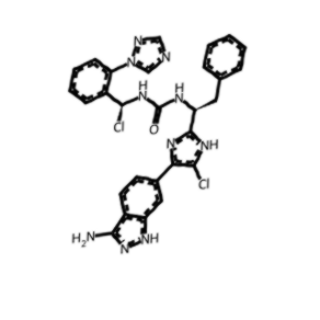 Nc1n[nH]c2cc(-c3nc([C@H](Cc4ccccc4)NC(=O)N[C@@H](Cl)c4ccccc4-n4cncn4)[nH]c3Cl)ccc12